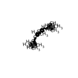 C[SiH]1O[SiH](C)O[Si](C)(CCCOc2ccc(C(C)(C)c3ccc(CCCO[Si]4(C)O[SiH](C)O[SiH](C)O[SiH](C)O4)cc3)cc2)O[SiH](C)O1